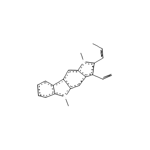 C=Cc1c(/C=C\C)n(C)c2cc3c4ccccc4n(C)c3cc12